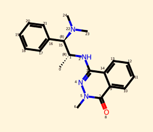 C[C@@H](Nc1nn(C)c(=O)c2ccccc12)[C@@H](c1ccccc1)N(C)C